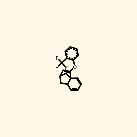 FC(F)(F)c1ccccc1OC1=CC2CC3C=CC=CC13C2